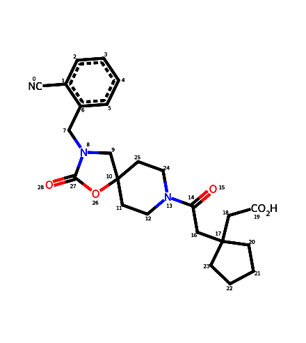 N#Cc1ccccc1CN1CC2(CCN(C(=O)CC3(CC(=O)O)CCCC3)CC2)OC1=O